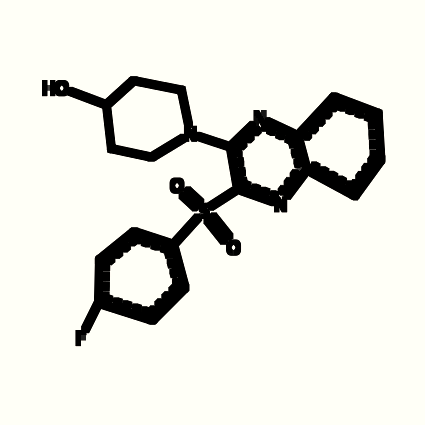 O=S(=O)(c1ccc(F)cc1)c1nc2ccccc2nc1N1CCC(O)CC1